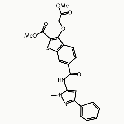 COC(=O)COc1c(C(=O)OC)sc2cc(C(=O)Nc3cc(-c4ccccc4)nn3C)ccc12